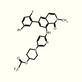 CC(C)c1ccc(F)c(-c2cc(Nc3ccc(N4CCC(OC(=O)C(F)(F)F)CC4)cn3)c3c(=O)n(C)ccc3c2)c1